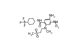 CNc1cc(N(C)CCS(C)(=O)=O)c(C(=O)N[C@H]2CC[C@H](C(F)(F)F)CC2)cc1N